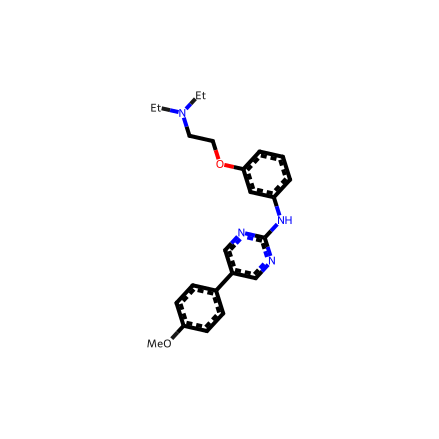 CCN(CC)CCOc1cccc(Nc2ncc(-c3ccc(OC)cc3)cn2)c1